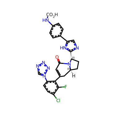 O=C(O)Nc1ccc(-c2cnc([C@@H]3CC[C@H]4CC(c5c(-n6cnnn6)ccc(Cl)c5F)=CC(=O)N43)[nH]2)cc1